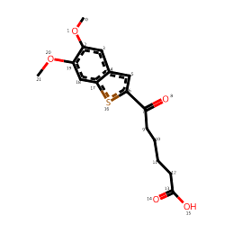 COc1cc2cc(C(=O)CCCCC(=O)O)sc2cc1OC